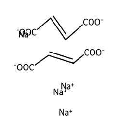 O=C([O-])/C=C/C(=O)[O-].O=C([O-])/C=C/C(=O)[O-].[Na+].[Na+].[Na+].[Na+]